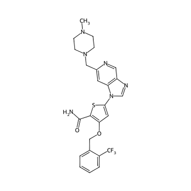 CN1CCN(Cc2cc3c(cn2)ncn3-c2cc(OCc3ccccc3C(F)(F)F)c(C(N)=O)s2)CC1